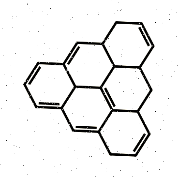 C1=CC2=CC3CC=CC4CC5C=CCC6=CC(=C1)C2C(=C65)C34